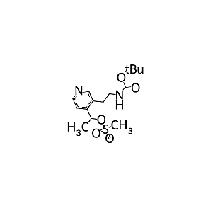 CC(OS(C)(=O)=O)c1ccncc1CCNC(=O)OC(C)(C)C